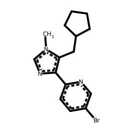 Cn1cnc(-c2ccc(Br)cn2)c1C[C]1CCCC1